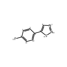 Fc1ccc(-c2cnns2)cc1